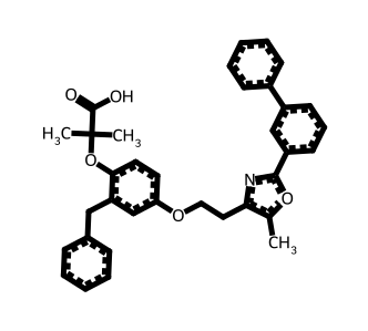 Cc1oc(-c2cccc(-c3ccccc3)c2)nc1CCOc1ccc(OC(C)(C)C(=O)O)c(Cc2ccccc2)c1